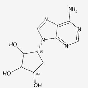 Nc1ncnc2c1ncn2[C@@H]1C[C@H](O)C(O)C1O